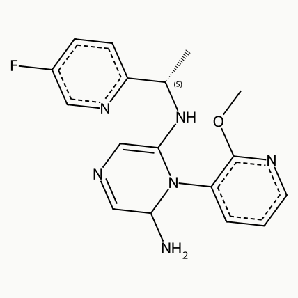 COc1ncccc1N1C(N[C@@H](C)c2ccc(F)cn2)=CN=CC1N